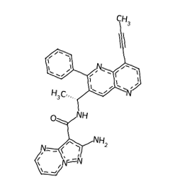 CC#Cc1ccnc2cc([C@@H](C)NC(=O)c3c(N)nn4cccnc34)c(-c3ccccc3)nc12